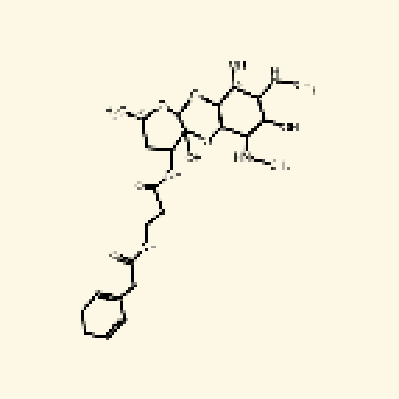 CNC1C(O)C(NC)[C@H](O)C2OC3O[C@H](C)CC(NC(=O)CCNC(=O)CC4=CCCC=C4)C3(O)OC12